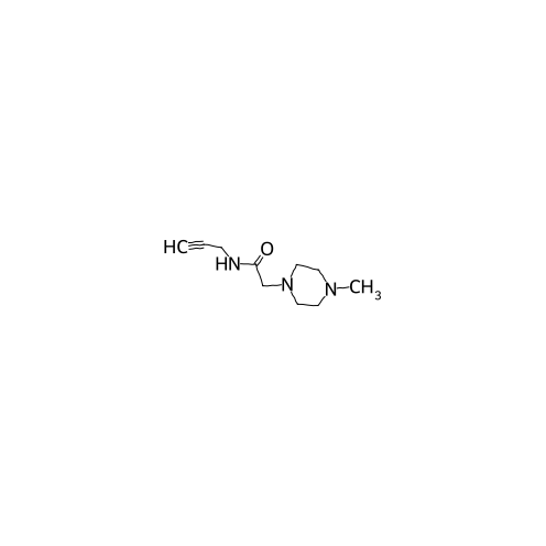 C#CCNC(=O)CN1CCN(C)CC1